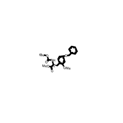 COC(=O)[C@H](Cc1ccc(OCc2ccccc2)cc1OC)NC(=O)OC(C)(C)C